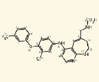 O=C(O)NCC1=Cc2c(ncnc2Nc2ccc(Oc3cccc(C(F)(F)F)c3)c(Cl)c2)NCC1